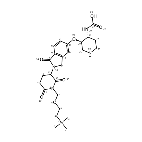 C[Si](C)(C)CCOCN1C(=O)CCC(N2Cc3cc(O[C@@H]4CNCC[C@H]4NC(=O)O)ccc3C2=O)C1=O